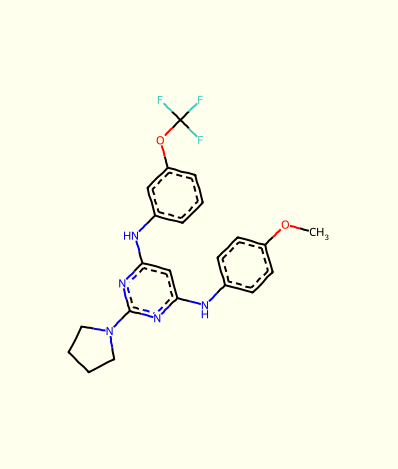 COc1ccc(Nc2cc(Nc3cccc(OC(F)(F)F)c3)nc(N3CCCC3)n2)cc1